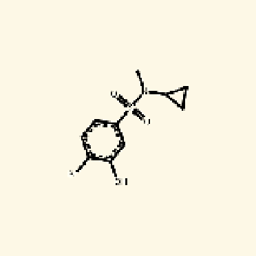 CN(C1CC1)S(=O)(=O)c1ccc(Br)c(O)c1